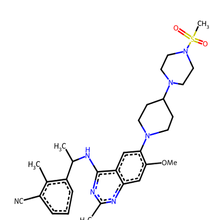 COc1cc2nc(C)nc(NC(C)c3cccc(C#N)c3C)c2cc1N1CCC(N2CCN(S(C)(=O)=O)CC2)CC1